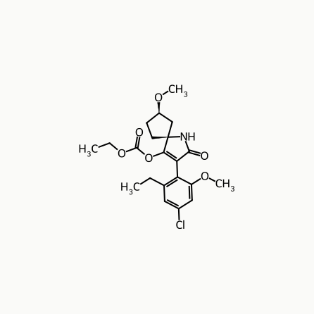 CCOC(=O)OC1=C(c2c(CC)cc(Cl)cc2OC)C(=O)N[C@]12CC[C@@H](OC)C2